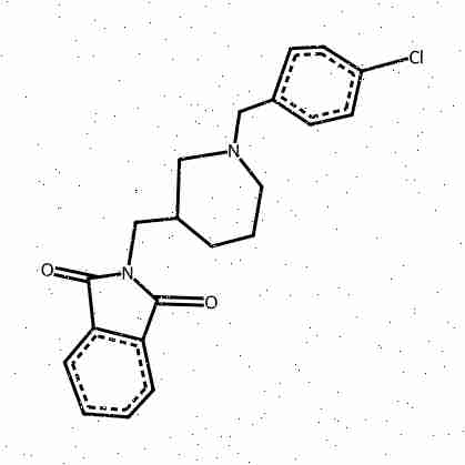 O=C1c2ccccc2C(=O)N1CC1CCCN(Cc2ccc(Cl)cc2)C1